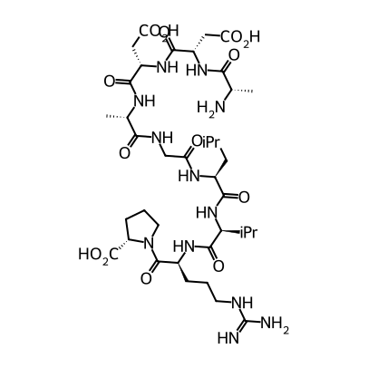 CC(C)C[C@H](NC(=O)CNC(=O)[C@H](C)NC(=O)[C@H](CC(=O)O)NC(=O)[C@H](CC(=O)O)NC(=O)[C@H](C)N)C(=O)N[C@H](C(=O)N[C@@H](CCCNC(=N)N)C(=O)N1CCC[C@H]1C(=O)O)C(C)C